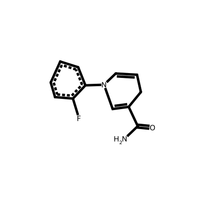 NC(=O)C1=CN(c2ccccc2F)C=CC1